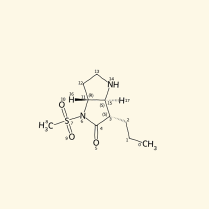 CCC[C@@H]1C(=O)N(S(C)(=O)=O)[C@@H]2CCN[C@@H]12